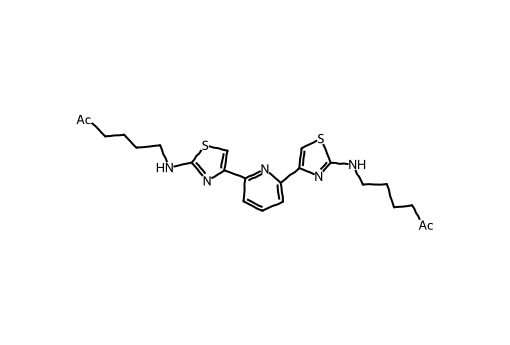 CC(=O)CCCCNc1nc(-c2cccc(-c3csc(NCCCCC(C)=O)n3)n2)cs1